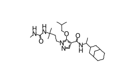 CNC(=O)NC(C)(C)CCn1ncc(C(=O)NC(C)C2CC3CCCC(C3)C2)c1OCC(C)C